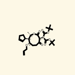 C=CCO[C@H]1CCC(=O)[C@H](N(C(=O)OC(C)(C)C)C(=O)OC(C)(C)C)C(=O)O[C@@H](C)[C@@H]1C1C=CCC1